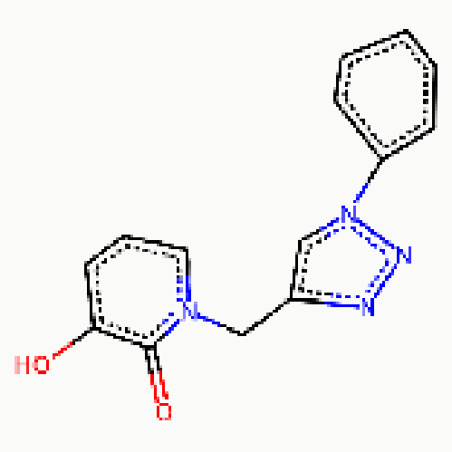 O=c1c(O)cccn1Cc1cn(-c2ccccc2)nn1